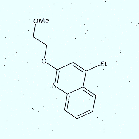 CCc1cc(OCCOC)nc2ccccc12